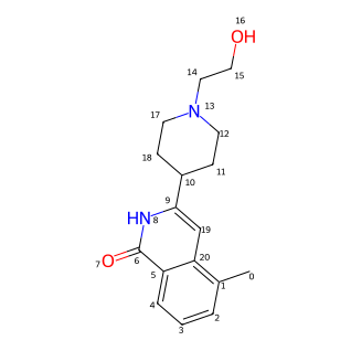 Cc1cccc2c(=O)[nH]c(C3CCN(CCO)CC3)cc12